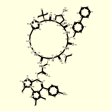 Cc1sc2c(c1C)C(c1ccc(Cl)cc1)=N[C@@H](CC(=O)NC[C@H]1NC(=O)[C@@H](C(C)C)NC(=O)[C@@H](Cc3ccc(-c4ccccc4)cc3)NC(=O)[C@@H]3C[C@@H](O)CN3C(=O)[C@H](C(C)(C)C)n3cc(nn3)COCCNC1=O)c1nnc(C)n1-2